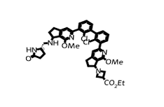 CCOC(=O)C1CN(C2CCc3cc(-c4cccc(-c5cccc(-c6cc7c(c(OC)n6)C(NC[C@@H]6CCC(=O)N6)CC7)c5Cl)c4Cl)nc(OC)c32)C1